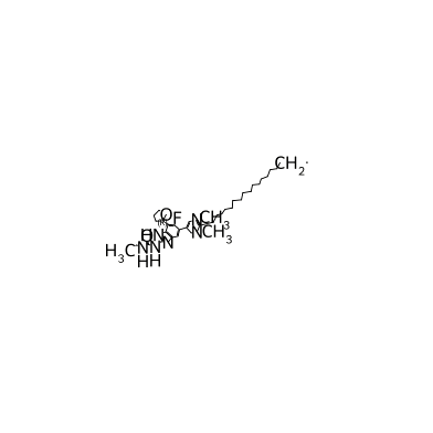 [CH2]CCCCCCCCCCCCCCCC(C)(C)c1ncc(-c2cc3nc(NC(=O)NCC)[nH]c3c([C@H]3CCCO3)c2F)cn1